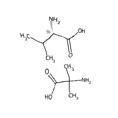 CC(C)(N)C(=O)O.CC(C)[C@H](N)C(=O)O